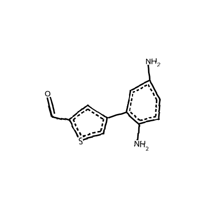 Nc1ccc(N)c(-c2csc(C=O)c2)c1